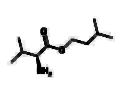 CC(C)CCOC(=O)[C@@H](N)C(C)C